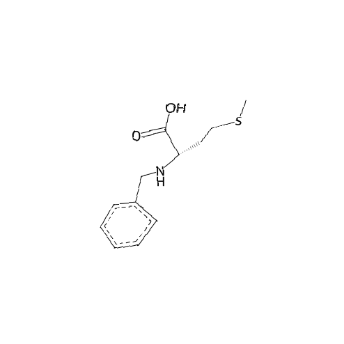 CSCC[C@H](NCc1ccccc1)C(=O)O